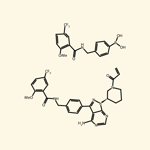 C=CC(=O)N1CCC[C@@H](n2nc(-c3ccc(CNC(=O)c4cc(C(F)(F)F)ccc4OC)cc3)c3c(N)ncnc32)C1.COc1ccc(C(F)(F)F)cc1C(=O)NCc1ccc(B(O)O)cc1